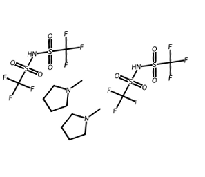 CN1CCCC1.CN1CCCC1.O=S(=O)(NS(=O)(=O)C(F)(F)F)C(F)(F)F.O=S(=O)(NS(=O)(=O)C(F)(F)F)C(F)(F)F